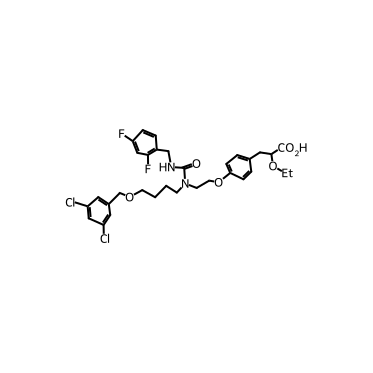 CCOC(Cc1ccc(OCCN(CCCCOCc2cc(Cl)cc(Cl)c2)C(=O)NCc2ccc(F)cc2F)cc1)C(=O)O